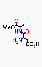 COC(=O)C(C)NC(=O)C(N)CC(=O)O